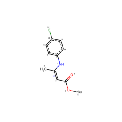 C/C(=C/C(=O)OC(C)(C)C)Nc1ccc(F)cc1